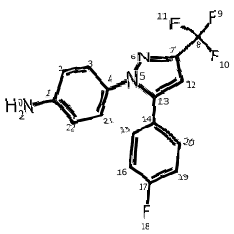 Nc1ccc(-n2nc(C(F)(F)F)cc2-c2ccc(F)cc2)cc1